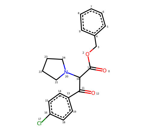 O=C(OCc1ccccc1)C(C(=O)c1ccc(Cl)cc1)N1CCCC1